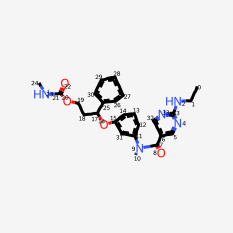 CCNc1ncc(C(=O)N(C)c2cccc(OC(CCOC(=O)NC)c3ccccc3)c2)cn1